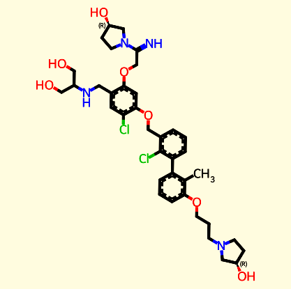 Cc1c(OCCCN2CC[C@@H](O)C2)cccc1-c1cccc(COc2cc(OCC(=N)N3CC[C@@H](O)C3)c(CNC(CO)CO)cc2Cl)c1Cl